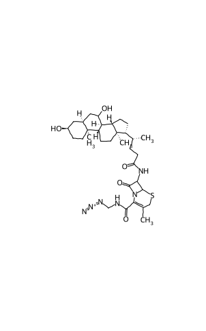 CC1=C(C(=O)NCN=[N+]=[N-])N2C(=O)C(NC(=O)CC[C@@H](C)[C@H]3CC[C@H]4[C@@H]5C(O)C[C@@H]6C[C@H](O)CC[C@]6(C)[C@H]5CC[C@]34C)C2SC1